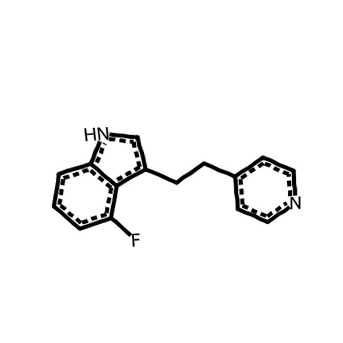 Fc1cccc2[nH]cc(CCc3ccncc3)c12